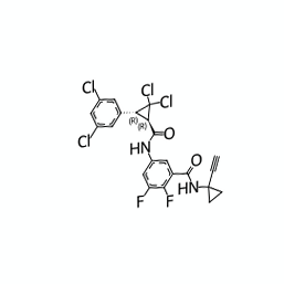 C#CC1(NC(=O)c2cc(NC(=O)[C@H]3[C@H](c4cc(Cl)cc(Cl)c4)C3(Cl)Cl)cc(F)c2F)CC1